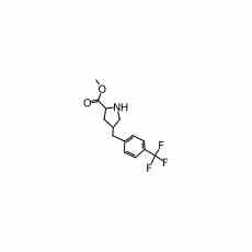 COC(=O)C1CC(Cc2ccc(C(F)(F)F)cc2)CN1